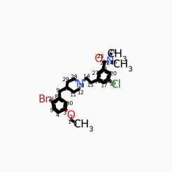 CCOc1ccc(Br)c(CC2CCN(CCc3cc(Cl)cc(C(=O)N(C)C)c3)CC2)c1